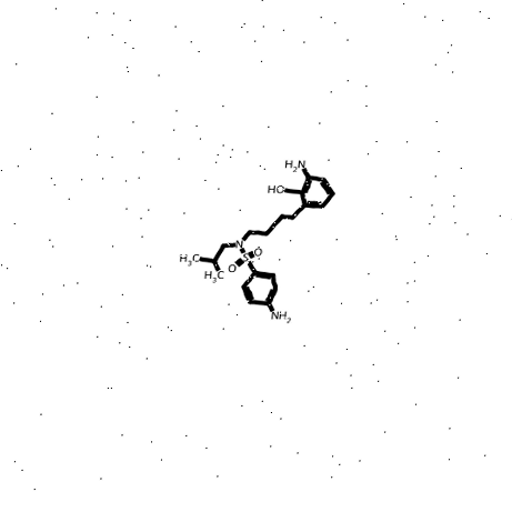 CC(C)CN(CCCCc1cccc(N)c1O)S(=O)(=O)c1ccc(N)cc1